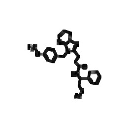 CC(=O)SCC(NC(=O)CCc1nc2cccnc2n1Cc1ccc(OC(F)(F)F)cc1)c1ccccc1